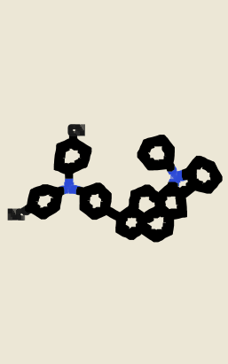 N#Cc1ccc(N(c2ccc(C#N)cc2)c2ccc(-c3ccc4ccc5cc6c7ccccc7n(-c7ccccc7)c6c6ccc3c4c56)cc2)cc1